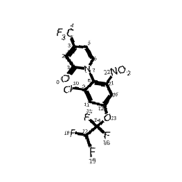 O=c1cc(C(F)(F)F)ccn1-c1c(Cl)cc(OC(F)(F)C(F)F)cc1[N+](=O)[O-]